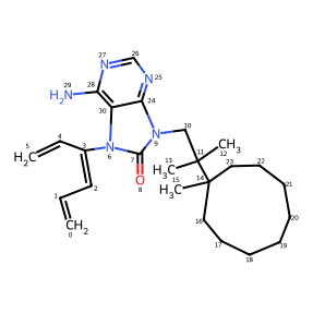 C=C/C=C(\C=C)n1c(=O)n(CC(C)(C)C2(C)CCCCCCCC2)c2ncnc(N)c21